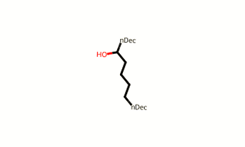 CCCCCCCCCCCCCCC(O)CCCCCCCCCC